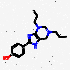 CCCN1Cc2[nH]c(-c3ccc(O)cc3)nc2N(CCC)C1